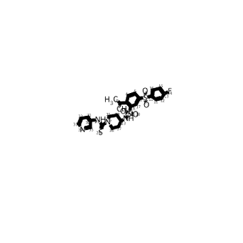 CC(C)c1ccc(S(=O)(=O)c2ccc(F)cc2)cc1S(=O)(=O)NC1CCN(C(=S)Nc2cccnc2)CC1